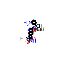 CC(c1cccc(N)c1)N(Cc1cnc2cc3c(cc2c1)CC1(C3)C(=O)NC(=O)N1C)C(=O)C(C)(C)C